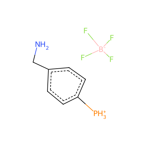 F[B-](F)(F)F.NCc1ccc([PH3+])cc1